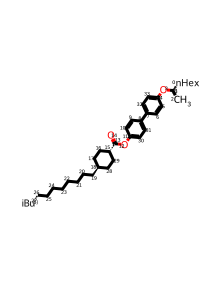 CCCCCC[C@@H](C)Oc1ccc(-c2ccc(OC(=O)[C@H]3CC[C@H](CCCCCCCC[C@@H](C)CC)CC3)cc2)cc1